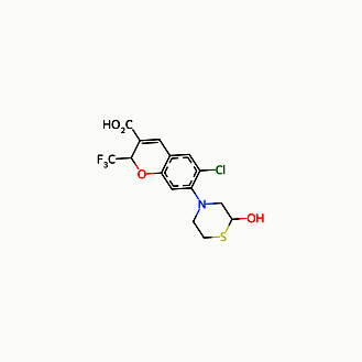 O=C(O)C1=Cc2cc(Cl)c(N3CCSC(O)C3)cc2OC1C(F)(F)F